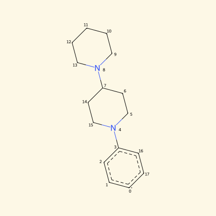 [c]1ccc(N2CCC(N3CCCCC3)CC2)cc1